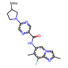 CNC1CCN(c2cnc(C(=O)Nc3cn4cc(C)nc4c(F)c3C)cn2)C1